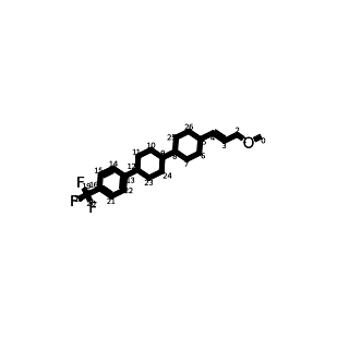 COCC=CC1CCC(C2CCC(c3ccc(C(F)(F)F)cc3)CC2)CC1